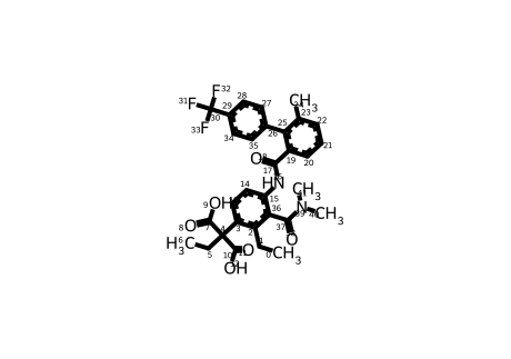 CCc1c(C(CC)(C(=O)O)C(=O)O)ccc(NC(=O)c2cccc(C)c2-c2ccc(C(F)(F)F)cc2)c1C(=O)N(C)C